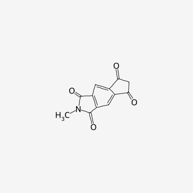 CN1C(=O)c2cc3c(cc2C1=O)C(=O)CC3=O